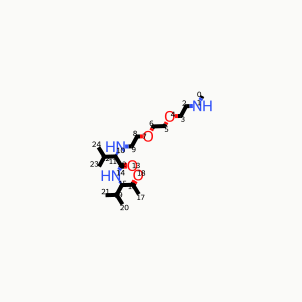 CNCCOCCOCCN[C@@H](C(=O)N[C@@H](C(C)=O)C(C)C)C(C)C